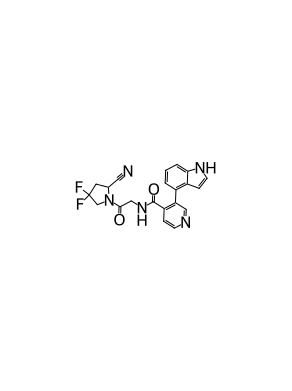 N#CC1CC(F)(F)CN1C(=O)CNC(=O)c1ccncc1-c1cccc2[nH]ccc12